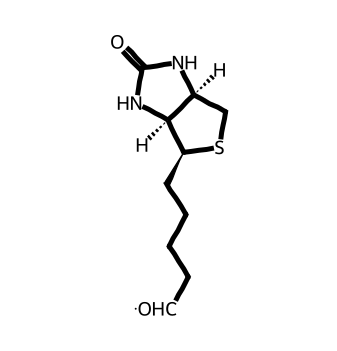 O=[C]CCCC[C@@H]1SC[C@@H]2NC(=O)N[C@@H]21